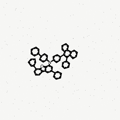 c1ccc(-c2ccc(N(c3ccc(-c4c(-c5ccccc5)c5ccccc5c5ccccc45)cc3)c3cc(-c4ccccc4)cc4c3oc3c(-c5ccccc5)cccc34)cc2)cc1